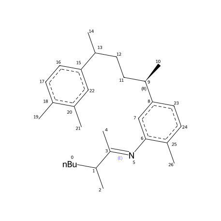 CCCCC(C)/C(C)=N/c1cc([C@H](C)CCC(C)c2ccc(C)c(C)c2)ccc1C